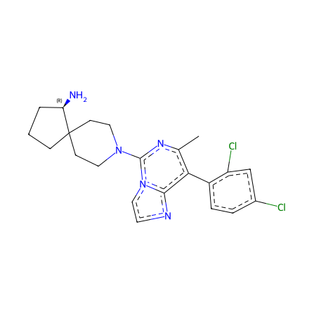 Cc1nc(N2CCC3(CCC[C@H]3N)CC2)n2ccnc2c1-c1ccc(Cl)cc1Cl